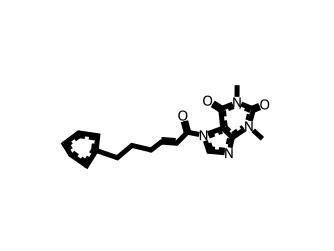 Cn1c(=O)c2c(ncn2C(=O)C=CCCCc2ccccc2)n(C)c1=O